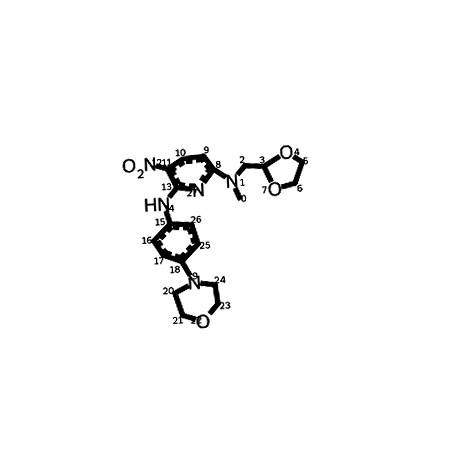 CN(CC1OCCO1)c1ccc([N+](=O)[O-])c(Nc2ccc(N3CCOCC3)cc2)n1